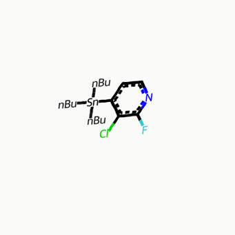 CCC[CH2][Sn]([CH2]CCC)([CH2]CCC)[c]1ccnc(F)c1Cl